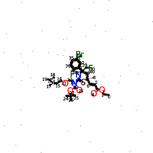 CCOC(=O)/C=C/[C@@]1(C)SC(N(COCC[Si](C)(C)C)C(=O)OC(C)(C)C)=N[C@](CF)(c2cc(Br)ccc2F)[C@@H]1C